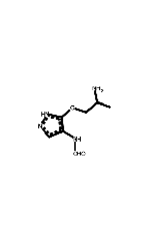 CC(N)COc1[nH]ncc1NC=O